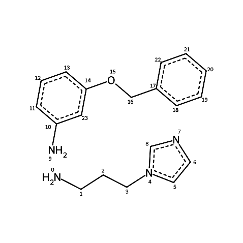 NCCCn1ccnc1.Nc1cccc(OCc2ccccc2)c1